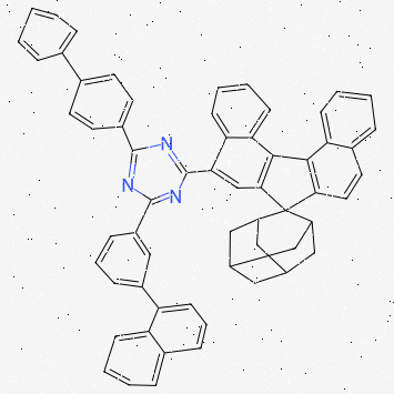 c1ccc(-c2ccc(-c3nc(-c4cccc(-c5cccc6ccccc56)c4)nc(-c4cc5c(c6ccccc46)-c4c(ccc6ccccc46)C54C5CC6CC(C5)CC4C6)n3)cc2)cc1